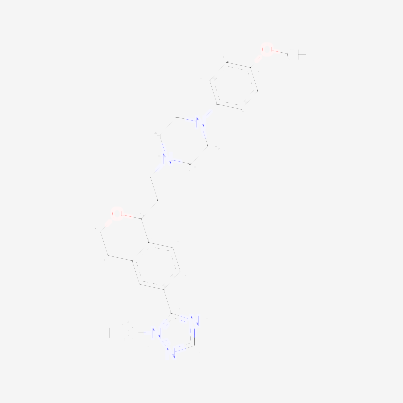 COc1ccc(N2CCN(CCC3OCCc4cc(-c5ncnn5C)ccc43)CC2)cc1